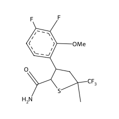 COc1c(C2CC(C)(C(F)(F)F)SC2C(N)=O)ccc(F)c1F